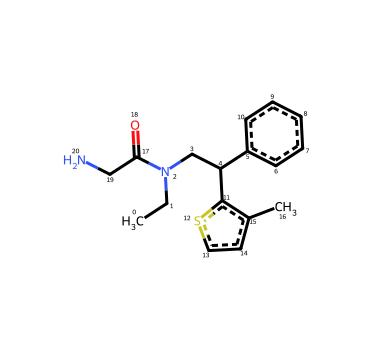 CCN(CC(c1ccccc1)c1sccc1C)C(=O)CN